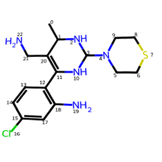 CC1NC(N2CCSCC2)NC(c2ccc(Cl)cc2N)=C1CN